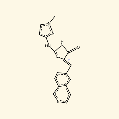 Cn1ccc(NC2=N/C(=C\c3ccc4cnccc4c3)C(=O)N2)n1